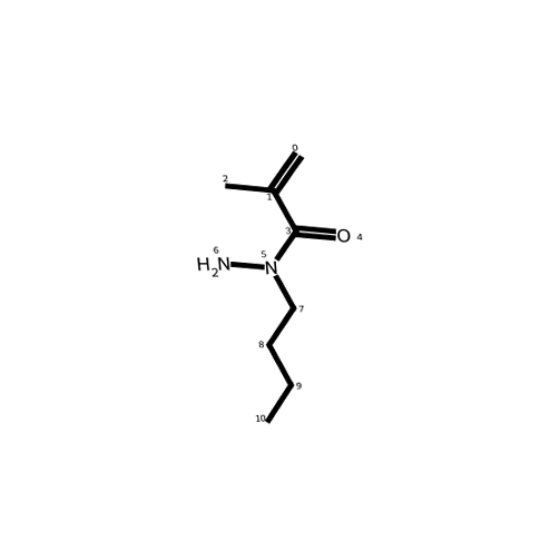 C=C(C)C(=O)N(N)CCCC